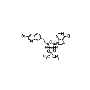 CC1(C)O[C@@H]2[C@H](O1)[C@@H](CCc1ccc3cc(Br)cnc3c1)O[C@H]2n1ccc2c(Cl)ncnc21